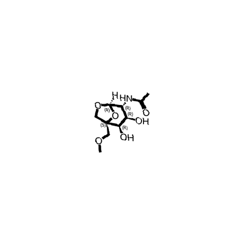 COC[C@@]12CO[C@H](O1)[C@H](NC(C)=O)[C@@H](O)[C@H]2O